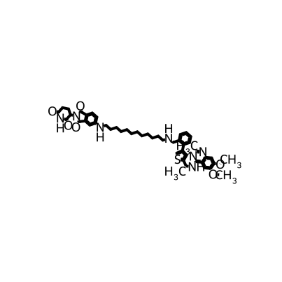 COc1cc2nc(C)nc(NC(C)c3cc(-c4ccccc4CNCCCCCCCCCCCCNc4ccc5c(c4)C(=O)N(C4CCC(=O)NC4=O)C5=O)cs3)c2cc1OC